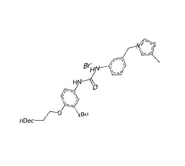 CCCCCCCCCCCCOc1ccc(NC(=O)Nc2cccc(C[n+]3csc(C)c3)c2)cc1C(C)(C)C.[Br-]